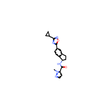 Cn1nccc1C(=O)N[C@@H]1CCc2cc(-c3nc(C4CC4)no3)ccc21